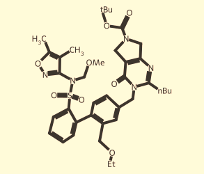 CCCCc1nc2c(c(=O)n1Cc1ccc(-c3ccccc3S(=O)(=O)N(COC)c3noc(C)c3C)c(COCC)c1)CN(C(=O)OC(C)(C)C)C2